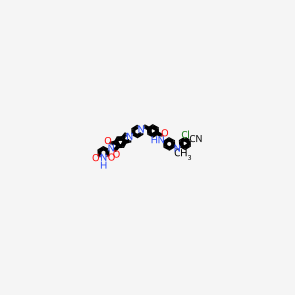 CN(c1ccc(C#N)c(Cl)c1)[C@H]1CC[C@H](NC(=O)c2ccc(CN3CCC(N4Cc5cc6c(cc5C4)C(=O)N(C4CCC(=O)NC4=O)C6=O)CC3)cc2)CC1